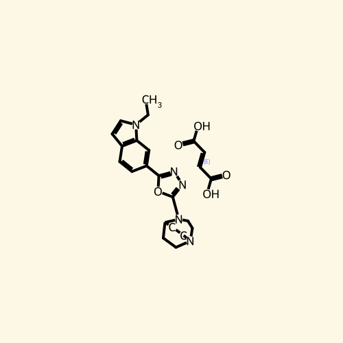 CCn1ccc2ccc(-c3nnc(N4CCN5CCC4CC5)o3)cc21.O=C(O)/C=C/C(=O)O